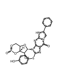 O=c1c2nc(Sc3ccc(O)cc3)n([C@@H]3OC4CO[PH](=O)O[C@H]4C3O)c2nc2[nH]c(-c3ccccc3)cn12